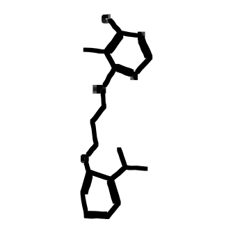 Cc1c(Cl)ncnc1NCCCOc1ccccc1C(C)C